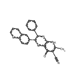 Cc1[nH]c2nc(-c3ccccc3)c(-c3ccc4ncccc4c3)nc2c(=O)c1C#N